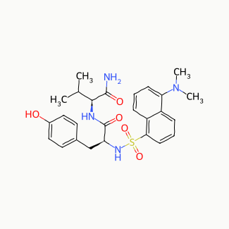 CC(C)[C@H](NC(=O)[C@H](Cc1ccc(O)cc1)NS(=O)(=O)c1cccc2c(N(C)C)cccc12)C(N)=O